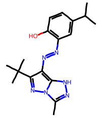 Cc1n[nH]c2c(N=Nc3cc(C(C)C)ccc3O)c(C(C)(C)C)nn12